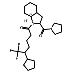 O=C(C1CC2CCCC[C@@H]2N1C(=O)CCCC(C1CCCC1)C(F)(F)F)N1CCCC1